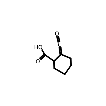 O=C=C1CCCCC1C(=O)O